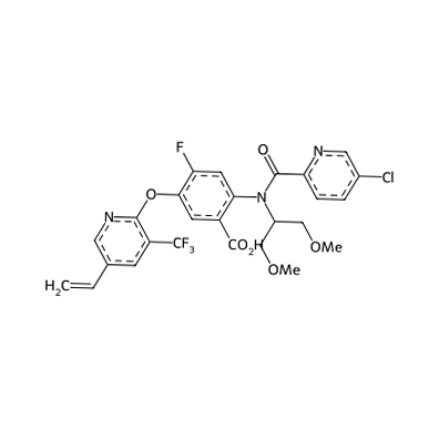 C=Cc1cnc(Oc2cc(C(=O)O)c(N(C(=O)c3ccc(Cl)cn3)C(COC)COC)cc2F)c(C(F)(F)F)c1